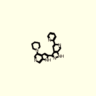 c1ccc(-c2cc3c(-c4cc5c(N6CCCCC6)cncc5[nH]4)n[nH]c3cn2)nc1